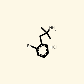 CC(C)(N)Cc1ccccc1Br.Cl